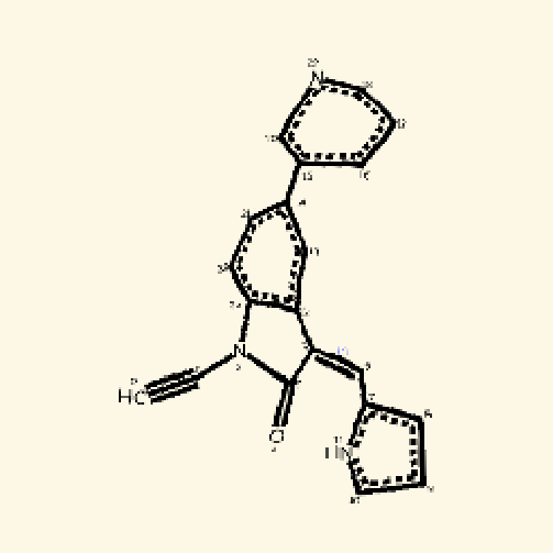 C#CN1C(=O)/C(=C\c2ccc[nH]2)c2cc(-c3cccnc3)ccc21